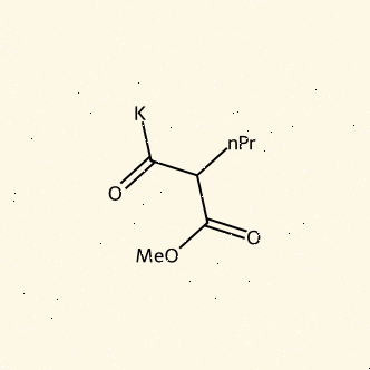 CCCC([C](=O)[K])C(=O)OC